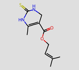 CC(C)=CCOC(=O)C1=C(C)NC(=S)NC1